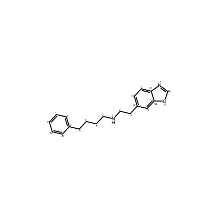 c1ccc(CCCCNCCc2ccc3ncoc3c2)cc1